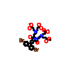 COC(=O)CCN(CCCC(=O)CCC1(CCC(=O)NCCN(CCC(=O)OC)CCC(=O)OC)c2cc(Br)ccc2-c2ccc(Br)cc21)CCC(=O)OC